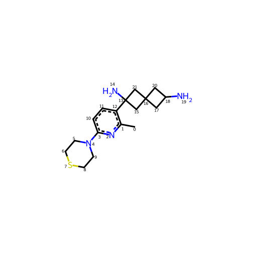 Cc1nc(N2CCSCC2)ccc1C1(N)CC2(CC(N)C2)C1